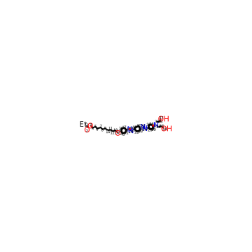 CCC(=O)OCCCCCCCCCCOc1ccc(N=Nc2ccc(N=Nc3ccc(N(CCO)CCO)cc3)cc2)cc1